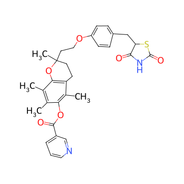 Cc1c(C)c2c(c(C)c1OC(=O)c1cccnc1)CCC(C)(CCOc1ccc(CC3SC(=O)NC3=O)cc1)O2